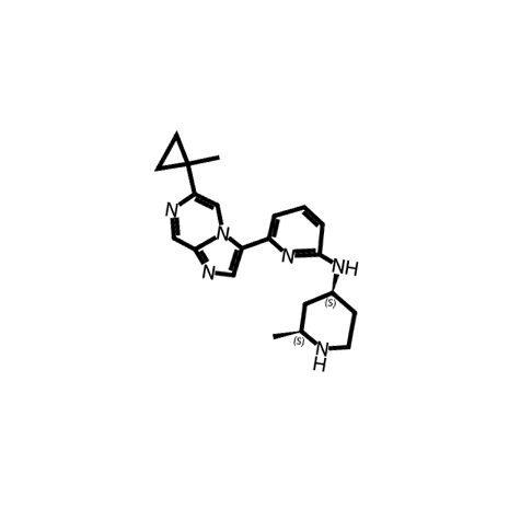 C[C@H]1C[C@@H](Nc2cccc(-c3cnc4cnc(C5(C)CC5)cn34)n2)CCN1